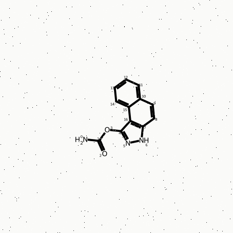 NC(=O)Oc1n[nH]c2ccc3ccccc3c12